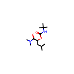 CC(C)C[C@H](OC(=O)NC(C)(C)C)C(=O)N(C)C